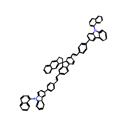 C(=C\c1ccc2c(c1)C1(CCc3cc4ccccc4cc31)c1cc(/C=C/c3ccc(-c4ccc5c(c4)c4ccccc4n5-c4cccc5ccccc45)cc3)ccc1-2)/c1ccc(-c2ccc3c(c2)c2ccccc2n3-c2cccc3ccccc23)cc1